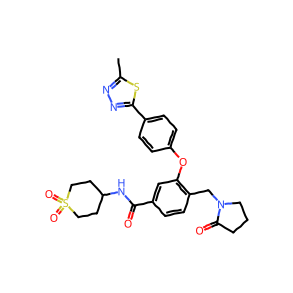 Cc1nnc(-c2ccc(Oc3cc(C(=O)NC4CCS(=O)(=O)CC4)ccc3CN3CCCC3=O)cc2)s1